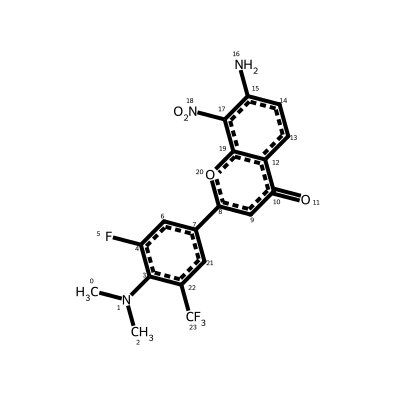 CN(C)c1c(F)cc(-c2cc(=O)c3ccc(N)c([N+](=O)[O-])c3o2)cc1C(F)(F)F